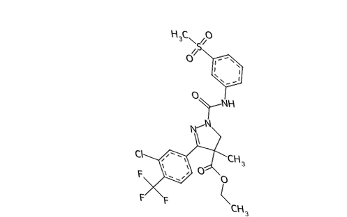 CCOC(=O)C1(C)CN(C(=O)Nc2cccc(S(C)(=O)=O)c2)N=C1c1ccc(C(F)(F)F)c(Cl)c1